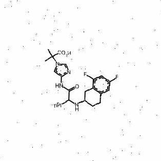 CCCC(NC1CCc2cc(F)cc(F)c2C1)C(=O)Nc1cn(C(C)(C)C(=O)O)cn1